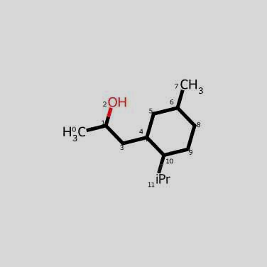 CC(O)C[C]1CC(C)CCC1C(C)C